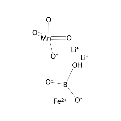 [Fe+2].[Li+].[Li+].[O-]B([O-])O.[O]=[Mn](=[O])([O-])[O-]